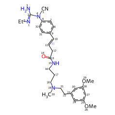 CCN=C(N)N(C#N)c1ccc(/C=C/CC(=O)NCCCN(C)CCc2cc(OC)cc(OC)c2)cc1